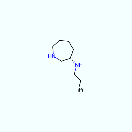 CC(C)CCN[C@H]1CCCCNC1